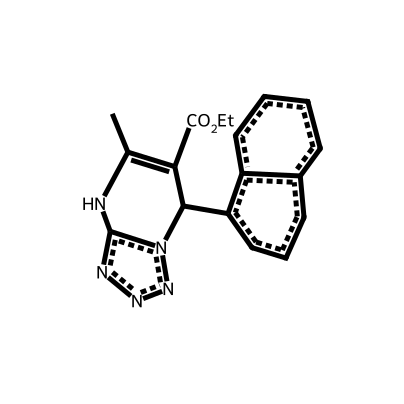 CCOC(=O)C1=C(C)Nc2nnnn2C1c1cccc2ccccc12